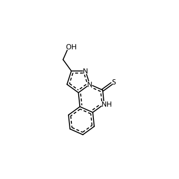 OCc1cc2c3ccccc3[nH]c(=S)n2n1